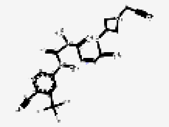 C#CCN1CC(OC(=C)/C=C\C(=C)N(C)C(=S)N(C)c2cnc(C#N)c(C(F)(F)F)c2)C1